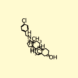 C[C@]12CC[C@H]3[C@@H](CC=C4C[C@@H](O)CC[C@@]43C)[C@@H]1CC[C@@H]2NCc1ccc(Cl)cc1